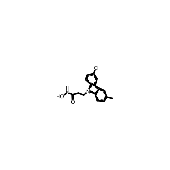 Cc1ccc2c(c1)c1cc(Cl)ccc1n2CCC(=O)NO